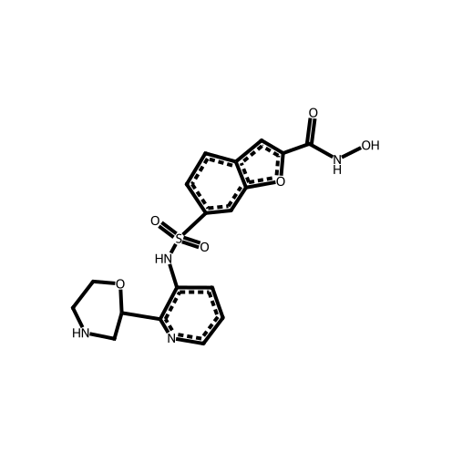 O=C(NO)c1cc2ccc(S(=O)(=O)Nc3cccnc3C3CNCCO3)cc2o1